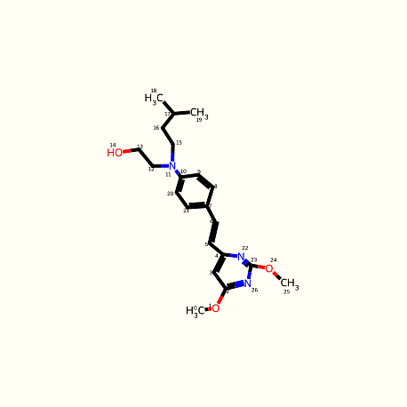 COc1cc(/C=C/c2ccc(N(CCO)CCC(C)C)cc2)nc(OC)n1